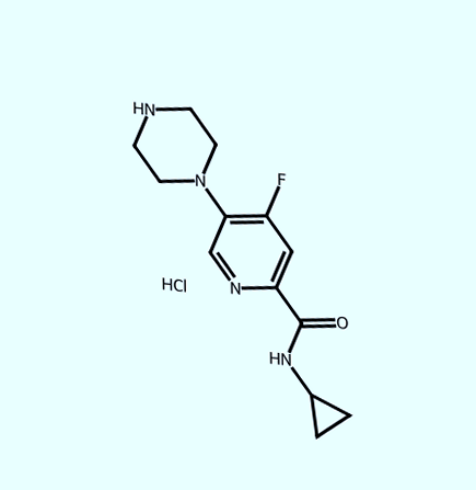 Cl.O=C(NC1CC1)c1cc(F)c(N2CCNCC2)cn1